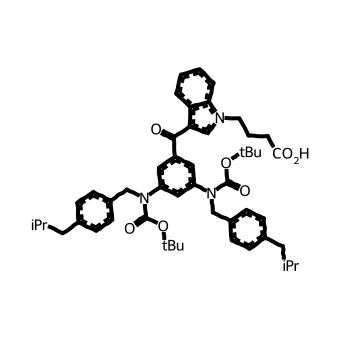 CC(C)Cc1ccc(CN(C(=O)OC(C)(C)C)c2cc(C(=O)c3cn(CCCC(=O)O)c4ccccc34)cc(N(Cc3ccc(CC(C)C)cc3)C(=O)OC(C)(C)C)c2)cc1